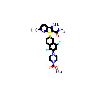 Cc1ccc2c(n1)[SH](C1CCc3c(F)c(N4CCN(C(=O)OC(C)(C)C)CC4)cc(F)c3C1)C(C(N)=O)=C2N